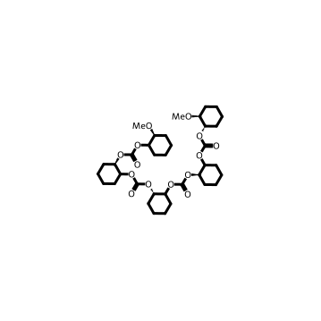 CO[C@H]1CCCCC1OC(=O)O[C@@H]1CCCCC1OC(=O)O[C@H]1CCCCC1OC(=O)O[C@@H]1CCCCC1OC(=O)O[C@H]1CCCC[C@@H]1OC